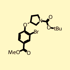 COC(=O)c1ccc(O[C@@H]2CCN(C(=O)OC(C)(C)C)C2)c(Br)c1